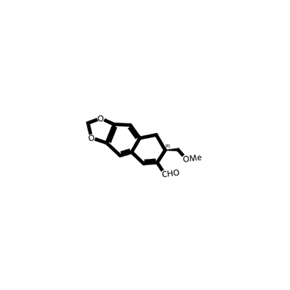 COC[C@@H]1Cc2cc3c(cc2C=C1C=O)OCO3